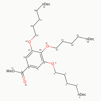 CCCCCCCCCCCCCCOc1cc(C(=O)OC)cc(OCCCCCCCCCCCCCC)c1OCCCCCCCCCCCCCC